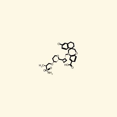 C[C@@H](CO[C@@H]1CCO[C@H]([C@@H]2CC[C@H]2CN2CC3(CCCc4cc(Cl)ccc43)COc3ccc(C(=O)O)cc32)C1)S(N)(=O)=O